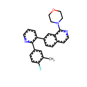 Cc1cc(-c2ncccc2-c2ccc3ccnc(N4CCOCC4)c3c2)ccc1F